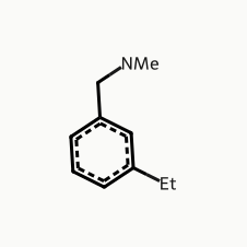 CCc1cccc(CNC)c1